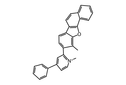 Cc1c(-c2cc(-c3ccccc3)cc[n+]2C)ccc2c1oc1c3ccccc3ccc21